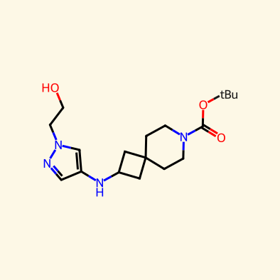 CC(C)(C)OC(=O)N1CCC2(CC1)CC(Nc1cnn(CCO)c1)C2